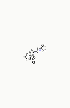 C=C/C(=C\C=C(/C)[C@H]1OP(Cl)N2CCC[C@@H]12)OC